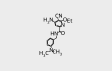 CCOc1nc(C(=O)NCc2cccc(N(C)C)c2)cc(N)c1C#N